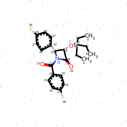 CC[Si](CC)(CC)O[C@@H]1C(=O)N(C(=O)c2ccc(F)cc2)[C@@H]1c1ccc(F)cc1